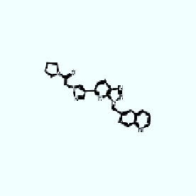 O=C(Cn1cc(-c2ccc3nnn(Cc4ccc5ncccc5c4)c3n2)cn1)N1CCCC1